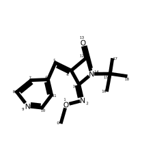 CO/N=C1\C(=C/c2ccncc2)C(=O)N1C(C)(C)C